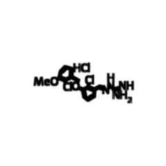 COc1cccc(COc2cccc(C=NNC(=N)N)c2Cl)c1Cl.Cl